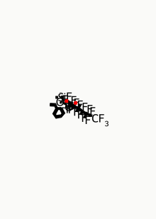 C=Cc1ccccc1[Si](O[Si](C)(C)C)(O[Si](C)(C)C)C(F)(F)C(F)(F)C(F)(F)C(F)(F)C(F)(F)C(F)(F)C(F)(F)C(F)(F)F